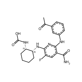 CC(=O)c1cccc(Nc2nc(N[C@@H]3CCCC[C@@H]3NC(=O)O)c(F)cc2C(N)=O)c1